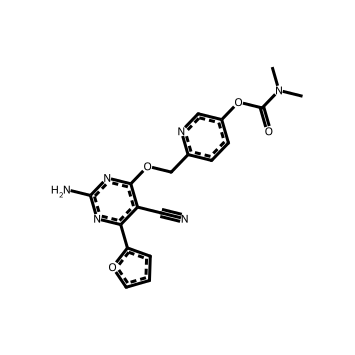 CN(C)C(=O)Oc1ccc(COc2nc(N)nc(-c3ccco3)c2C#N)nc1